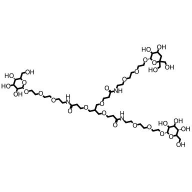 O=C(CCOCC(COCCC(=O)NCCOCCOCCO[C@H]1OC(CO)[C@@H](O)C(O)C1O)COCCC(=O)NCCOCCOCCO[C@H]1OC(CO)[C@@H](O)C(O)C1O)NCCOCCOCCO[C@H]1OC(CO)(CO)CC(O)C1O